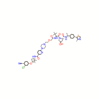 Cc1ncsc1-c1ccc([C@H](C)NC(=O)[C@@H]2C[C@@H](O)CN2C(=O)[C@@H](NC(=O)COCCN2CCN(c3ccc(C(=O)N[C@H]4C[C@@H](Oc5ccc(C#N)c(Cl)c5)C4(C)C)cn3)CC2)C(C)(C)C)cc1